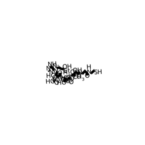 CCC(O)CCc1nc2c(N)ncnc2n1[C@@H]1O[C@H](COP(=O)(O)OP(=O)(O)OCC(C)(C)[C@@H](O)C(=O)NCCC(=O)NCCS)[C@@H](OP(=O)(O)O)[C@H]1O